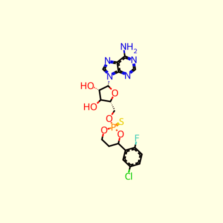 Nc1ncnc2c1ncn2[C@@H]1O[C@H](COP2(=S)OCCC(c3cc(Cl)ccc3F)O2)C(O)[C@@H]1O